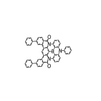 O=c1c2ccc(-c3ccccc3)cc2c2cc3c4cc(-c5ccccc5)ccc4c(=O)n4c3c3c2n1-c1cccc2c1B3c1c(cccc1-4)N2c1ccccc1